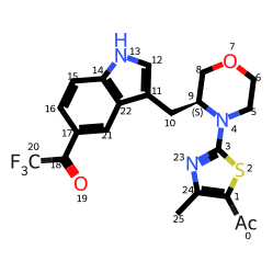 CC(=O)c1sc(N2CCOC[C@@H]2Cc2c[nH]c3ccc(C(=O)C(F)(F)F)cc23)nc1C